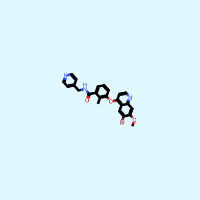 COc1cc2nccc(Oc3cccc(C(=O)NCc4ccncc4)c3C)c2cc1Br